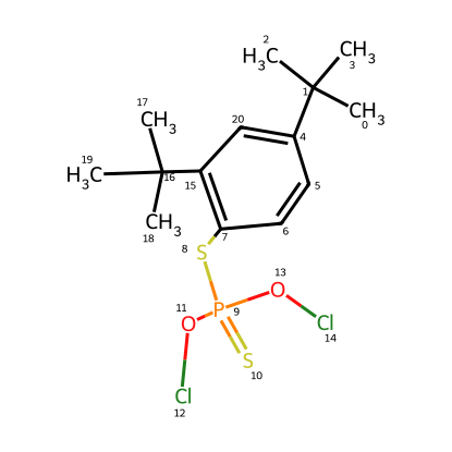 CC(C)(C)c1ccc(SP(=S)(OCl)OCl)c(C(C)(C)C)c1